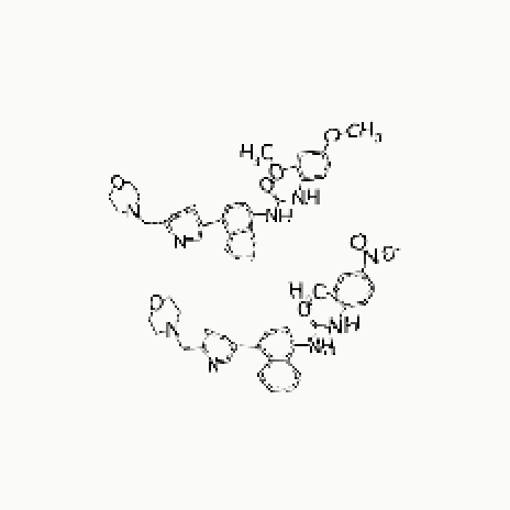 COc1ccc(NC(=O)Nc2ccc(-c3ccc(CN4CCOCC4)nc3)c3ccccc23)c(OC)c1.Cc1cc([N+](=O)[O-])ccc1NC(=O)Nc1ccc(-c2ccc(CN3CCOCC3)nc2)c2ccccc12